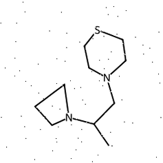 [CH2]C(CN1CCSCC1)N1CCC1